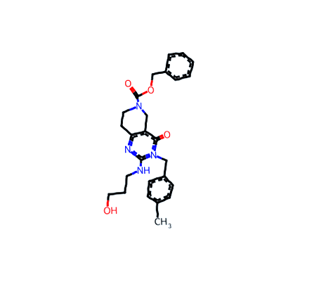 Cc1ccc(Cn2c(NCCCO)nc3c(c2=O)CN(C(=O)OCc2ccccc2)CC3)cc1